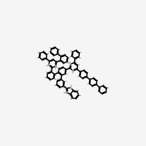 c1ccc(-c2ccc(-c3ccc(-c4cc(-c5ccccc5)nc(-c5ccc(-c6ccccc6-c6nc(-c7ccccc7)cc(-c7ccccc7-c7ccccc7)n6)c(-c6cccc(-c7nc8ccccc8s7)c6)c5)n4)cc3)cc2)cc1